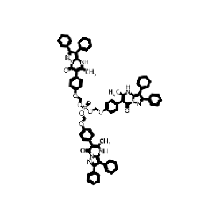 Cc1[nH]c2c(C3=CCCCC3)c(-c3ccccc3)nn2c(=O)c1-c1ccc(OCOP(=O)(OCOc2ccc(-c3c(C)[nH]c4c(C5=CCCCC5)c(-c5ccccc5)nn4c3=O)cc2)OCOc2ccc(-c3c(C)[nH]c4c(C5=CCCCC5)c(-c5ccccc5)nn4c3=O)cc2)cc1